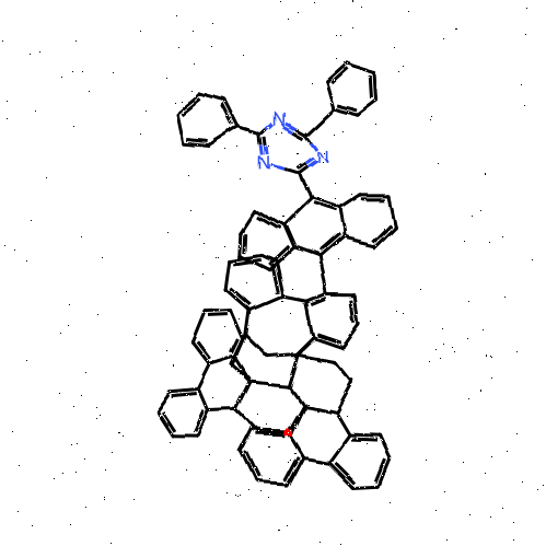 c1ccc(-c2nc(-c3ccccc3)nc(-c3c4ccccc4c(-c4cccc5c4-c4ccccc4C4CC56CCC5c7ccccc7-c7ccccc7C57CCC5c8ccccc8-c8ccccc8C5(C4)C67)c4ccccc34)n2)cc1